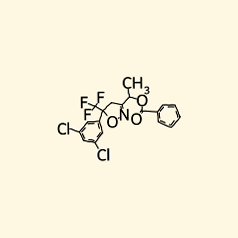 CC(OC(=O)c1ccccc1)C1=NOC(c2cc(Cl)cc(Cl)c2)(C(F)(F)F)C1